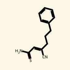 N#CC(=CC(N)=S)CCCc1ccccc1